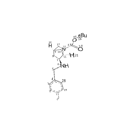 Cc1ccc(CN[C@H]2C[C@@H]3C[C@H]2N(C(=O)OC(C)(C)C)C3)cc1